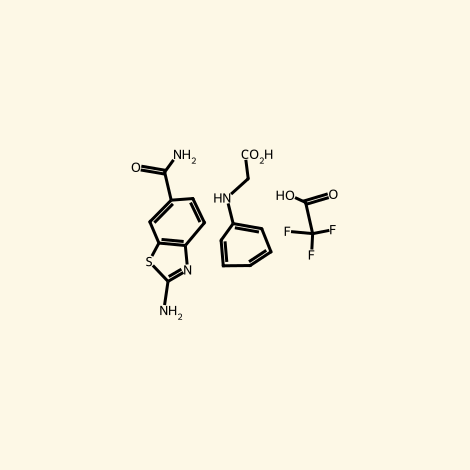 NC(=O)c1ccc2nc(N)sc2c1.O=C(O)C(F)(F)F.O=C(O)CNc1ccccc1